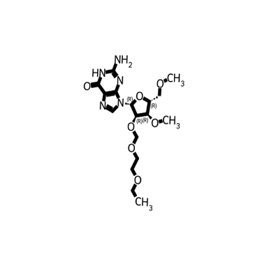 CCOCCOCO[C@@H]1[C@H](OC)[C@@H](COC)O[C@H]1n1cnc2c(=O)[nH]c(N)nc21